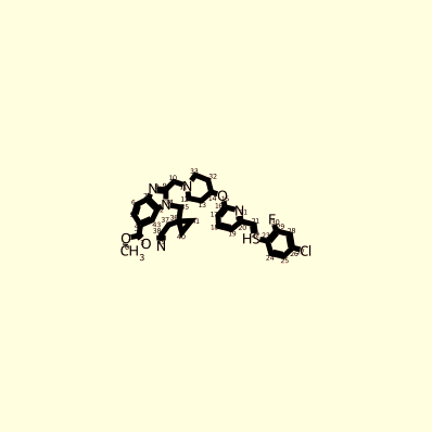 COC(=O)c1ccc2nc(CN3CCC(Oc4cccc(C=[SH]c5ccc(Cl)cc5F)n4)CC3)n(CC3(CC#N)CC3)c2c1